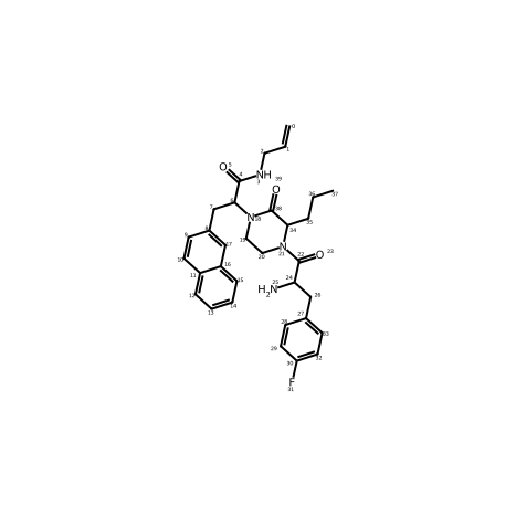 C=CCNC(=O)C(Cc1ccc2ccccc2c1)N1CCN(C(=O)C(N)Cc2ccc(F)cc2)C(CCC)C1=O